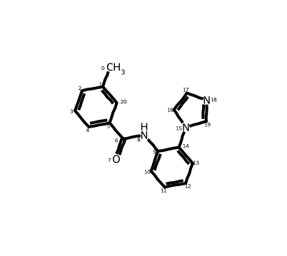 Cc1cccc(C(=O)Nc2ccccc2-n2ccnc2)c1